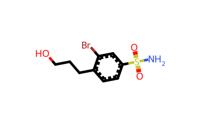 NS(=O)(=O)c1ccc(CCCO)c(Br)c1